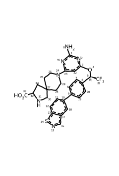 Nc1nc(O[C@H](c2ccc(-c3ccc4sncc4c3)cc2)C(F)(F)F)cc(N2CCC3(CC2)CNC(C(=O)O)C3)n1